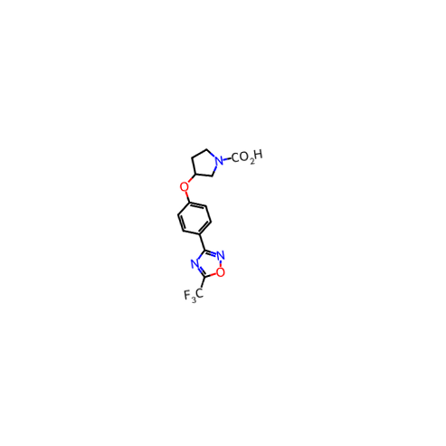 O=C(O)N1CCC(Oc2ccc(-c3noc(C(F)(F)F)n3)cc2)C1